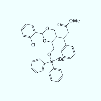 COC(=O)CC(c1ccccc1)C1COC(c2ccccc2Cl)OC1CO[Si](c1ccccc1)(c1ccccc1)C(C)(C)C